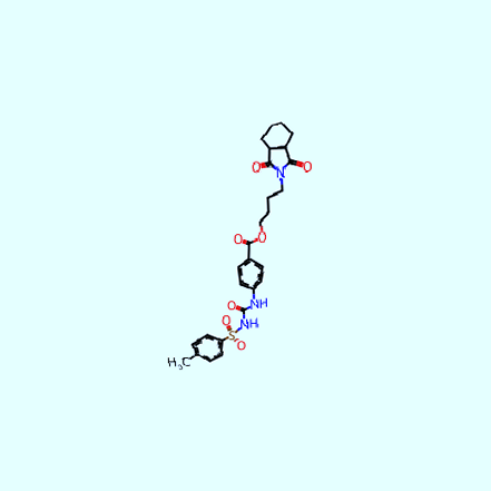 Cc1ccc(S(=O)(=O)NC(=O)Nc2ccc(C(=O)OCCCCN3C(=O)C4CCCCC4C3=O)cc2)cc1